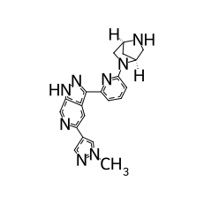 Cn1cc(-c2cc3c(-c4cccc(N5C[C@@H]6C[C@H]5CN6)n4)n[nH]c3cn2)cn1